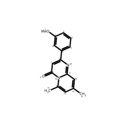 COc1cccc(-c2cc(=O)n3c(C)cc(C)cc3n2)c1